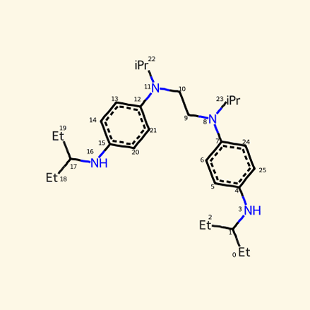 CCC(CC)Nc1ccc(N(CCN(c2ccc(NC(CC)CC)cc2)C(C)C)C(C)C)cc1